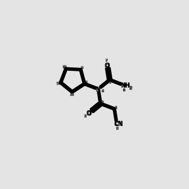 N#CCC(=O)N(C(N)=O)C1CCCC1